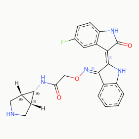 O=C(CO/N=C1/C(=C2/C(=O)Nc3ccc(F)cc32)Nc2ccccc21)N[C@@H]1[C@@H]2CNC[C@@H]21